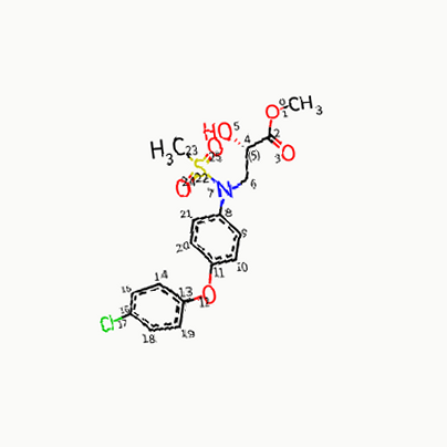 COC(=O)[C@@H](O)CN(c1ccc(Oc2ccc(Cl)cc2)cc1)S(C)(=O)=O